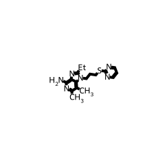 CCc1nc2c(N)nc(C)c(C)c2n1CCCSc1ncccn1